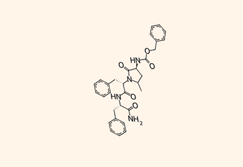 CC1C[C@H](NC(=O)OCc2ccccc2)C(=O)N1[C@@H](Cc1ccccc1)C(=O)N[C@@H](Cc1ccccc1)C(N)=O